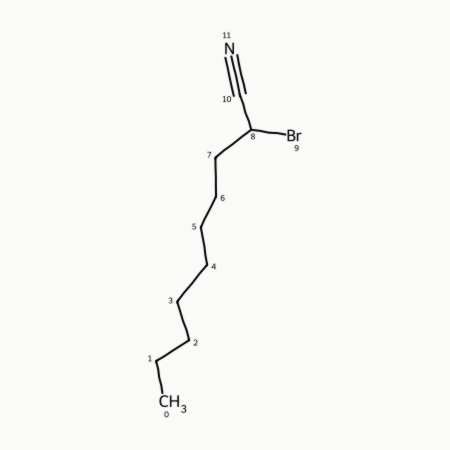 CCCCCCCCC(Br)C#N